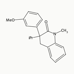 COc1cccc(C2(C(C)C)Cc3ccccc3N(C)C2=O)c1